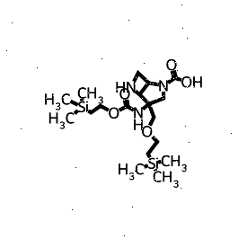 C[Si](C)(C)CCOCC1(NC(=O)OCC[Si](C)(C)C)CN(C(=O)O)C2CNC21